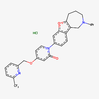 CC(C)N1CCCc2oc3cc(-n4ccc(OCc5cccc(C(F)(F)F)n5)cc4=O)ccc3c2C1.Cl